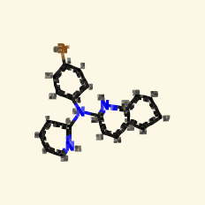 Brc1ccc(N(c2ccccn2)c2ccc3ccccc3n2)cc1